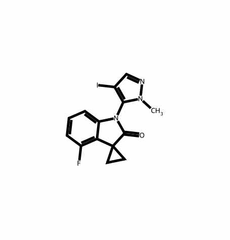 Cn1ncc(I)c1N1C(=O)C2(CC2)c2c(F)cccc21